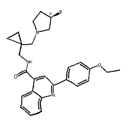 CCOc1ccc(-c2cc(C(=O)NCC3(CN4CC[C@@H](F)C4)CC3)c3ccccc3n2)cc1